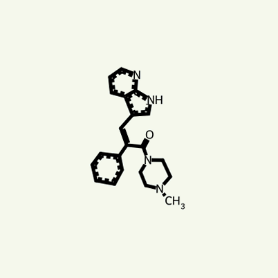 CN1CCN(C(=O)/C(=C\c2c[nH]c3ncccc23)c2ccccc2)CC1